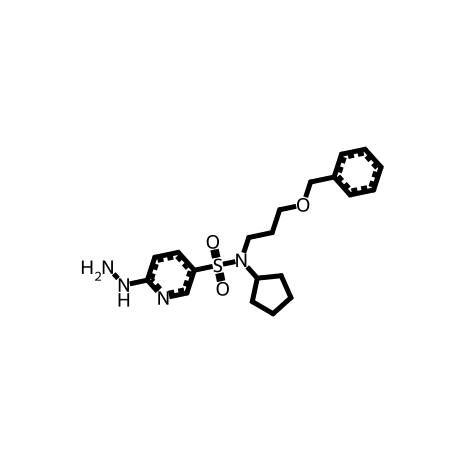 NNc1ccc(S(=O)(=O)N(CCCOCc2ccccc2)C2CCCC2)cn1